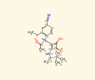 CCc1cc(C#N)ccc1N(C(C)=O)c1c(N[C@H](C)C(C)(C)C)c(=O)c1=O